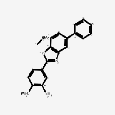 CNC.COc1ccc(-c2nc3cc(-c4ccccc4)ccc3o2)cc1N